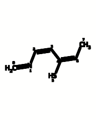 C=N/C=C\C(S)=C/C